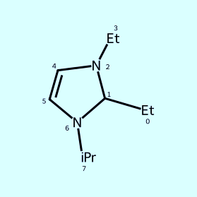 CCC1N(CC)C=CN1C(C)C